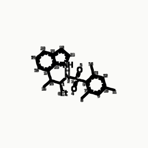 CC[C@H](NS(=O)(=O)c1c(C)cc(C)cc1C)C(C)c1cccc2cc[nH]c12